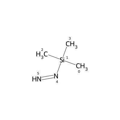 C[Si](C)(C)N=N